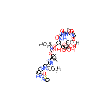 Cc1c(-c2ccc(N3CCc4cccc(C(=O)Nc5nc6ccccc6s5)c4C3)nc2C(=O)O)cnn1CC12CC3(C)CC(C)(C1)CC(OCCN(CCS(=O)(=O)O)C(=O)OCc1ccc(NC(=O)[C@H](C)NC(=O)[C@@H](NC(=O)CN4C(=O)C=CC4=O)C(C)C)cc1C1C[C@]14O[C@H](C(=O)O)[C@@H](O)[C@H](O)[C@H]4O)(C3)C2